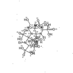 CCN(C(P(=O)(O)O)P(=O)(O)O)C(N(CCO)C(N(CC)C(P(=O)(O)O)P(=O)(O)O)(P(=O)(O)O)P(=O)(O)O)(P(=O)(O)O)P(=O)(O)O